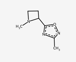 Cc1noc(C2CCN2C)n1